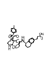 Cc1ccc(S(=O)(=O)N2CCNC(=O)[C@@H]2CC(=O)N[C@@H]2CCCc3cc(/C=C/C(=O)O)ccc32)cc1